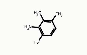 Cc1ccc(S)c(N)c1C